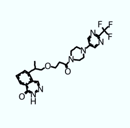 CC(COCCC(=O)N1CCN(c2cnc(C(F)(F)F)nc2)CC1)c1cccc2c(=O)[nH]ncc12